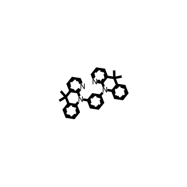 CC1(C)c2ccccc2N(c2cccc(N3c4ccccc4C(C)(C)c4cccnc43)c2)c2ncccc21